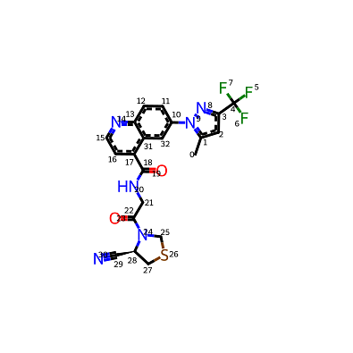 Cc1cc(C(F)(F)F)nn1-c1ccc2nccc(C(=O)NCC(=O)N3CSC[C@H]3C#N)c2c1